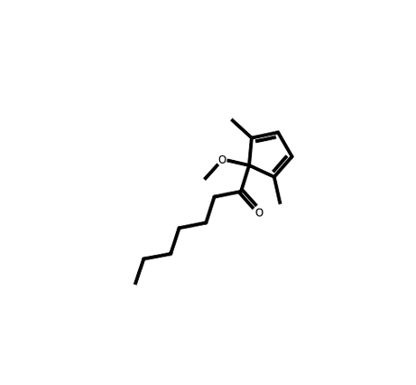 CCCCCCC(=O)C1(OC)C(C)=CC=C1C